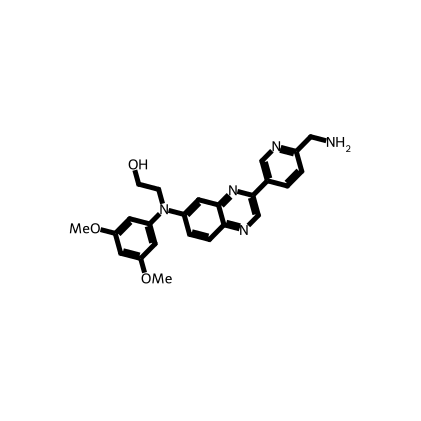 COc1cc(OC)cc(N(CCO)c2ccc3ncc(-c4ccc(CN)nc4)nc3c2)c1